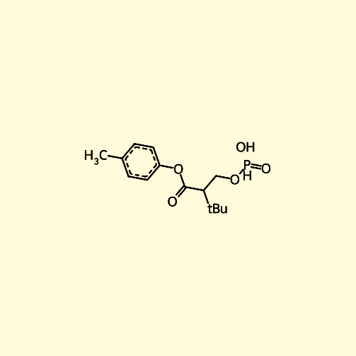 Cc1ccc(OC(=O)C(CO[PH](=O)O)C(C)(C)C)cc1